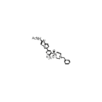 CC(=O)Nc1cn2cc(-c3cnc(N)c(S(=O)(=O)N4CCN(Cc5ccccc5)CC4)c3)ccc2n1